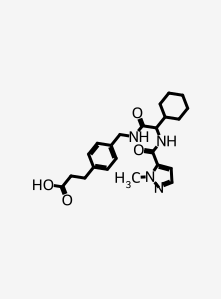 Cn1nccc1C(=O)NC(C(=O)NCc1ccc(CCC(=O)O)cc1)C1CCCCC1